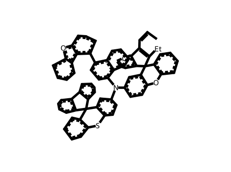 C/C=C\C1=C(CC)C2(c3ccccc3Oc3ccc(N(c4ccc5c(c4)C4(c6ccccc6S5)c5ccccc5-c5ccccc54)c4ccc(-c5cccc6oc7ccccc7c56)c5ccccc45)cc32)c2ccccc21